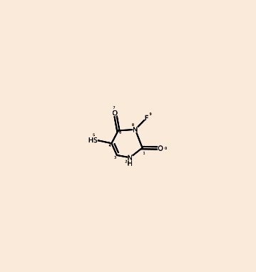 O=c1[nH]cc(S)c(=O)n1F